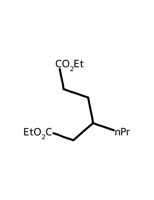 CCCC(CCC(=O)OCC)CC(=O)OCC